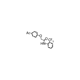 CC(=O)c1ccc(OCC(=O)Nc2ccccc2C(F)(F)F)cc1